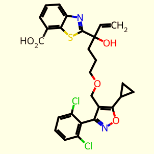 C=CC(O)(CCCOCc1c(-c2c(Cl)cccc2Cl)noc1C1CC1)c1nc2cccc(C(=O)O)c2s1